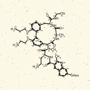 CCCCCCc1ccc2cc(C(=O)N[C@@H](CCN)C(=O)N(C)[C@@H]3C(=O)N[C@@H](C)C(=O)N[C@H](C(=O)NCC#N)Cc4ccc(OCCN)c(c4)-c4cc3ccc4OCCN)c(C)nc2c1